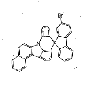 Brc1ccc2c(c1)C1(c3ccccc3-2)c2ccccc2-n2c3ccc4ccccc4c3c3cccc1c32